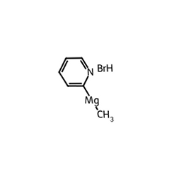 Br.[CH3][Mg][c]1ccccn1